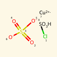 O=S(=O)(O)Cl.O=S(=O)([O-])[O-].[Cu+2]